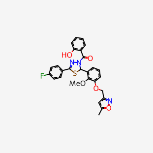 COc1c(OCc2cc(C)on2)cccc1C1SC(c2ccc(F)cc2)=NN1C(=O)c1ccccc1O